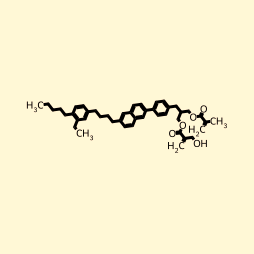 C=C(C)C(=O)OCC(COC(=O)C(=C)CO)Cc1ccc(-c2ccc3cc(CCCCc4ccc(CCCCC)c(CC)c4)ccc3c2)cc1